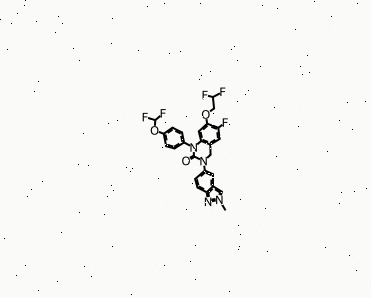 Cn1cc2cc(N3Cc4cc(F)c(OCC(F)F)cc4N(c4ccc(OC(F)F)cc4)C3=O)ccc2n1